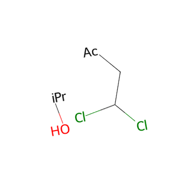 CC(=O)CC(Cl)Cl.CC(C)O